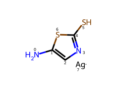 Nc1cnc(S)s1.[Ag]